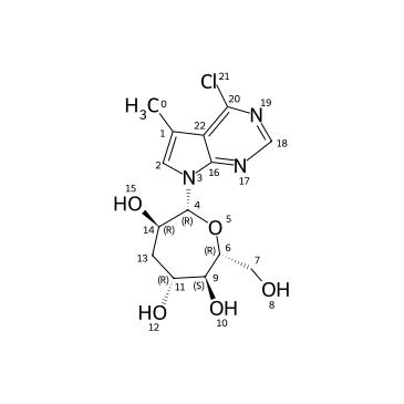 Cc1cn([C@@H]2O[C@H](CO)[C@@H](O)[C@H](O)C[C@H]2O)c2ncnc(Cl)c12